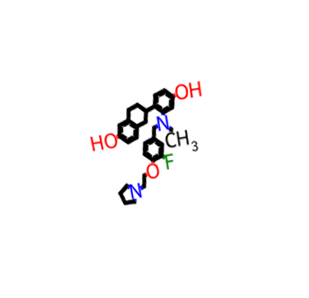 CCN(Cc1ccc(OCCN2CCCC2)c(F)c1)c1cc(O)ccc1C1CCc2cc(O)ccc2C1